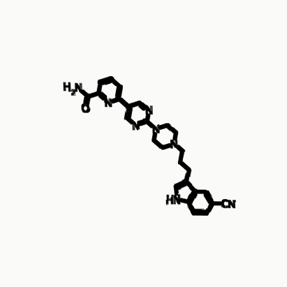 N#Cc1ccc2[nH]cc(CCCN3CCN(c4ncc(-c5cccc(C(N)=O)n5)cn4)CC3)c2c1